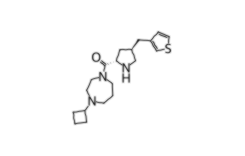 O=C([C@@H]1C[C@@H](Cc2ccsc2)CN1)N1CCCN(C2CCC2)CC1